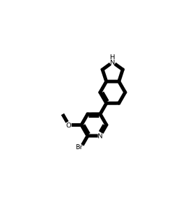 COc1cc(C2=CC3CNCC3CC2)cnc1Br